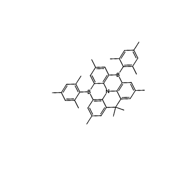 Cc1cc(C)c(B2c3cc(C)cc4c3N3c5c2cc(C)cc5C(C)(C)c2cc(C)cc(c23)B4c2c(C)cc(C)cc2C)c(C)c1